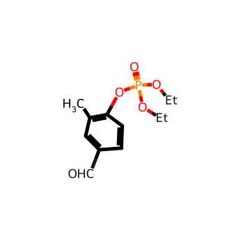 CCOP(=O)(OCC)Oc1ccc(C=O)cc1C